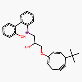 CC(C)(C)C1C#CC/C=C(OCC(O)CPc2ccccc2-c2ccccc2O)\C=C/1